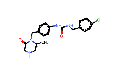 C[C@H]1CNCC(=O)N1Cc1ccc(NC(=O)NCc2ccc(Cl)cc2)cc1